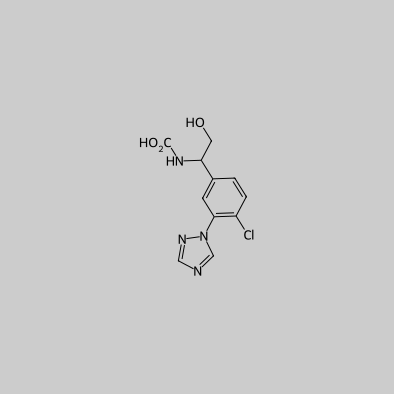 O=C(O)NC(CO)c1ccc(Cl)c(-n2cncn2)c1